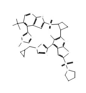 Cc1c(C2CCC2S(=O)(=O)c2cc3c(-c4ncn(C)n4)c(C(F)(F)F)cnc3[nH]2)nc2[nH]c(S(=O)(=O)N3CCCC3)cc2c1-c1ncn(CC2CC2)n1